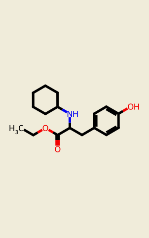 CCOC(=O)C(Cc1ccc(O)cc1)NC1CCCCC1